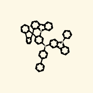 c1ccc(-c2ccc(N(c3ccc4c(c3)-n3c5ccccc5c5cccc(c53)C43c4ccccc4-c4ccccc43)c3ccc4c(c3)c3ccccc3n4-c3ccccc3)cc2)cc1